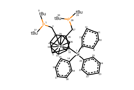 CC(C)(C)P(C[C]12[CH]3[CH]4[C]5([Si](c6ccccc6)(c6ccccc6)c6ccccc6)[C]1(CP(C(C)(C)C)C(C)(C)C)[Fe]34251678[CH]2[CH]1[CH]6[CH]7[CH]28)C(C)(C)C